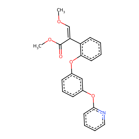 COC=C(C(=O)OC)c1ccccc1Oc1cccc(Oc2ccccn2)c1